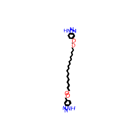 c1cc2[nH]nnc2cc1COOCCCCCCCCCCCCCCCCCCOCOc1ccc2[nH]nnc2c1